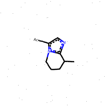 CC(=O)c1cnc2n1CCCC2C